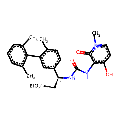 CCOC(=O)C[C@H](NC(=O)Nc1c(O)ccn(C)c1=O)c1ccc(C)c(-c2c(C)cccc2C)c1